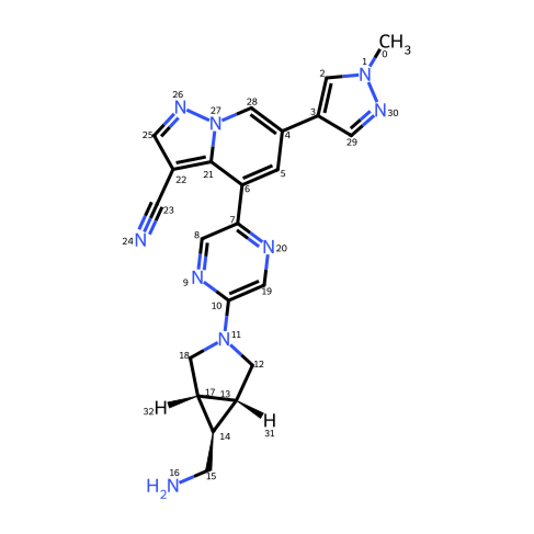 Cn1cc(-c2cc(-c3cnc(N4C[C@@H]5[C@@H](CN)[C@@H]5C4)cn3)c3c(C#N)cnn3c2)cn1